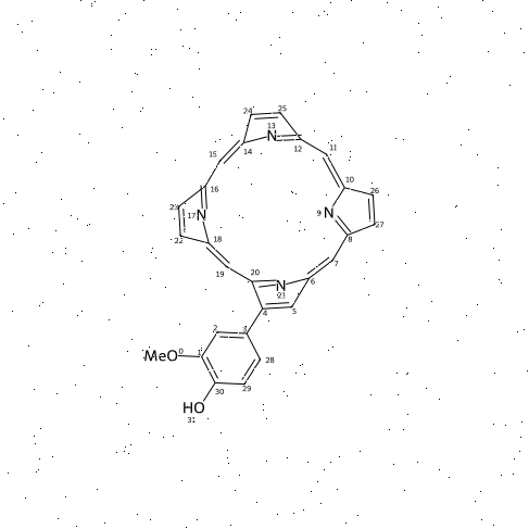 COc1cc(C2=CC3=CC4=NC(=CC5=NC(=CC6=NC(=CC2=N3)C=C6)C=C5)C=C4)ccc1O